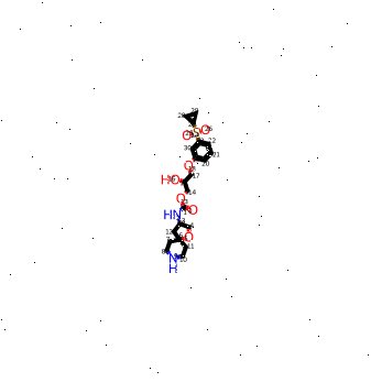 O=C(N[C@H]1COC2(CCNCC2)C1)OCC(O)COc1cccc(S(=O)(=O)C2CC2)c1